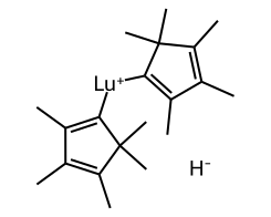 CC1=C(C)C(C)(C)[C]([Lu+][C]2=C(C)C(C)=C(C)C2(C)C)=C1C.[H-]